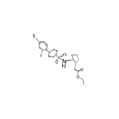 CCOC(=O)CC1CCCC1NS(=O)(=O)c1ccc(-c2ccc(F)cc2F)cc1